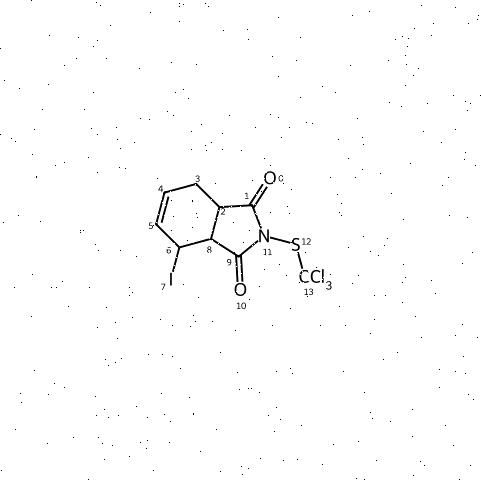 O=C1C2CC=CC(I)C2C(=O)N1SC(Cl)(Cl)Cl